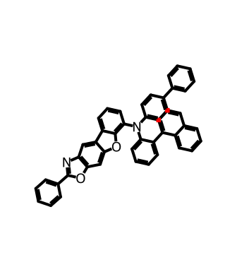 c1ccc(-c2ccc(N(c3ccccc3-c3cccc4ccccc34)c3cccc4c3oc3cc5oc(-c6ccccc6)nc5cc34)cc2)cc1